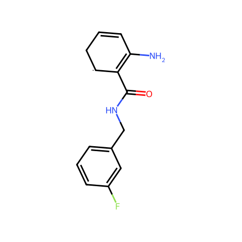 NC1=C(C(=O)NCc2cccc(F)c2)[CH]CC=C1